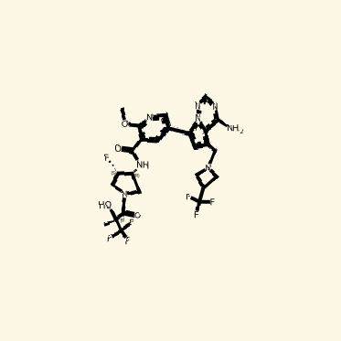 COc1ncc(-c2cc(CN3CC(C(F)(F)F)C3)c3c(N)ncnn23)cc1C(=O)N[C@@H]1CN(C(=O)[C@@](C)(O)C(F)(F)F)C[C@@H]1F